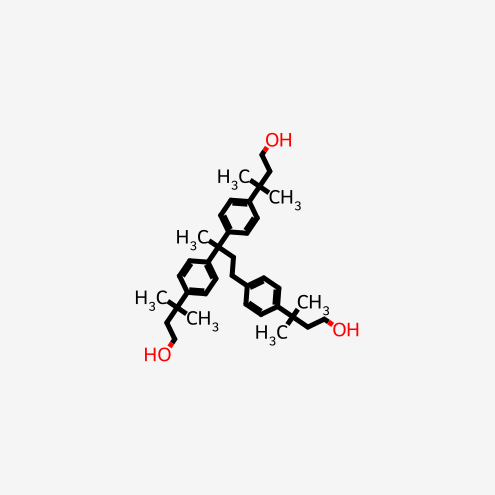 CC(C)(CCO)c1ccc(CCC(C)(c2ccc(C(C)(C)CCO)cc2)c2ccc(C(C)(C)CCO)cc2)cc1